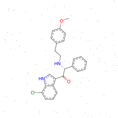 COc1ccc(CCN[C@@H](C(=O)c2c[nH]c3c(Cl)cccc23)c2ccccc2)cc1